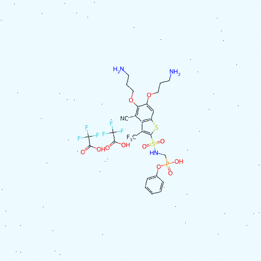 N#Cc1c(OCCCN)c(OCCCN)cc2sc(S(=O)(=O)NCP(=O)(O)Oc3ccccc3)c(C(F)(F)F)c12.O=C(O)C(F)(F)F.O=C(O)C(F)(F)F